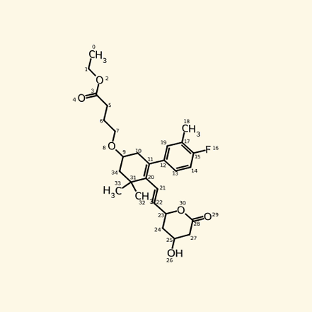 CCOC(=O)CCCOC1CC(c2ccc(F)c(C)c2)=C(C=CC2CC(O)CC(=O)O2)C(C)(C)C1